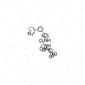 COC[C@H](NC(=O)c1ccn(S(C)(=O)=O)c1)C(=O)Nc1nc(-c2cccc(C3=C/CC/C(C)=N/C(C)=C\3)c2)cs1